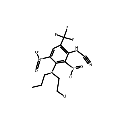 CCCN(CCCl)c1c([N+](=O)[O-])cc(C(F)(F)F)c(NC#N)c1[N+](=O)[O-]